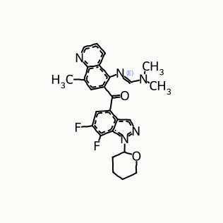 Cc1cc(C(=O)c2cc(F)c(F)c3c2cnn3C2CCCCO2)c(/N=C/N(C)C)c2cccnc12